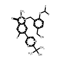 Cn1c(=O)c2cc(F)c(-c3cnc(C(C)(C)O)nc3)cc2n1Cc1cc(CC#N)ccc1OC(F)F